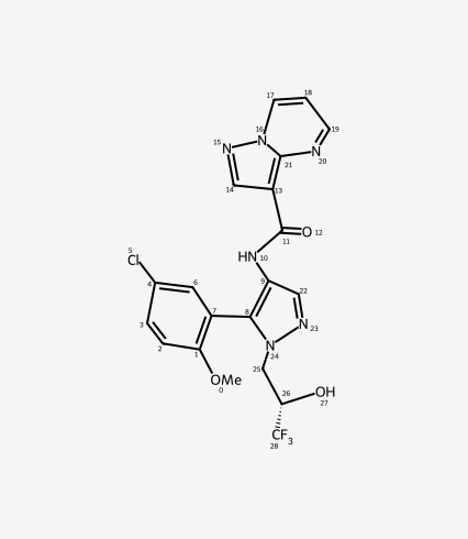 COc1ccc(Cl)cc1-c1c(NC(=O)c2cnn3cccnc23)cnn1C[C@H](O)C(F)(F)F